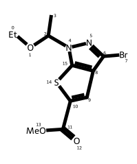 CCOC(C)n1nc(Br)c2cc(C(=O)OC)sc21